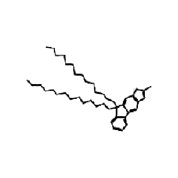 CCCCCCCCCCCCCCC1(CCCCCCCCCCCCCC)c2ccccc2-c2cc3c(cc21)[CH]C(C)=C3